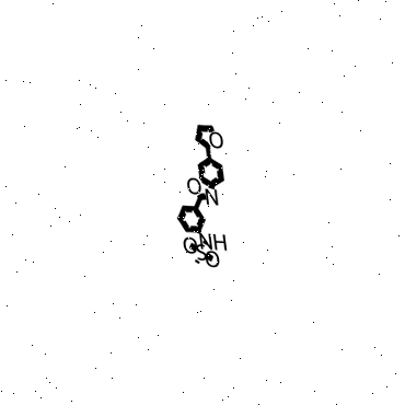 CS(=O)(=O)Nc1cccc(-c2nc3ccc(-c4ccco4)cc3o2)c1